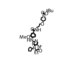 CC[C@@H]1C(=O)N(C)c2cnc(Nc3ccc(C(=O)NCCCOC4CCN(C(=O)OC(C)(C)C)CC4)cc3OC)nc2N1C1CCCC1